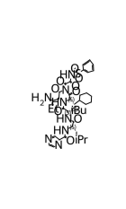 CCC(N)CC(=O)N(C(=O)C(=O)NS(=O)(=O)c1ccccc1)C(=O)[C@H](CC1CCCCC1)NC(=O)[C@@H](NC(=O)[C@H](CC(C)C)NC(=O)c1cnccn1)[C@@H](C)CC